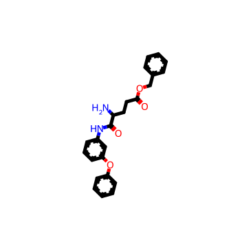 NC(CCC(=O)OCc1ccccc1)C(=O)Nc1cccc(Oc2ccccc2)c1